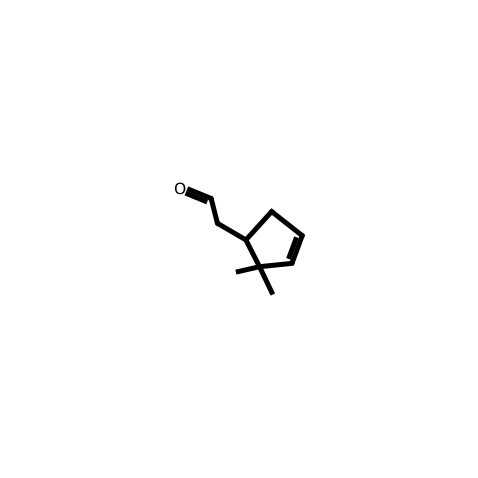 CC1(C)C=CCC1CC=O